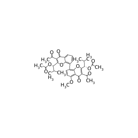 COc1ccc(-c2cccc3c(=O)c(C(C)=O)c([C@@H](OC(C)=O)C(C)C)oc23)c2oc([C@@H](OC(C)=O)C(C)C)c(C(C)=O)c(=O)c12